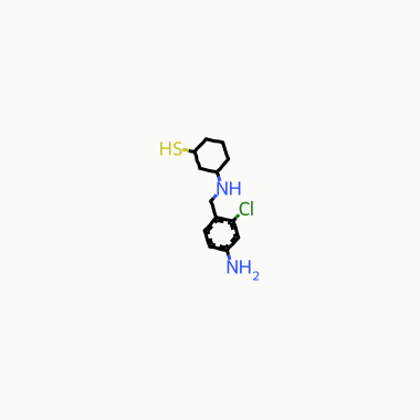 Nc1ccc(CNC2CCCC(S)C2)c(Cl)c1